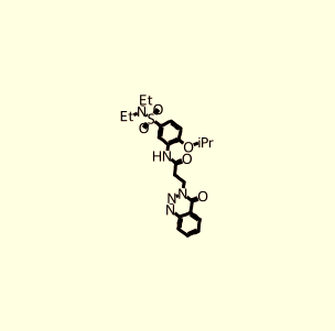 CCN(CC)S(=O)(=O)c1ccc(OC(C)C)c(NC(=O)CCn2nnc3ccccc3c2=O)c1